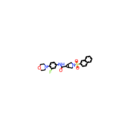 O=C(Nc1ccc(N2CCOCC2)c(F)c1)C1C2CN(S(=O)(=O)c3ccc4ccccc4c3)CC21